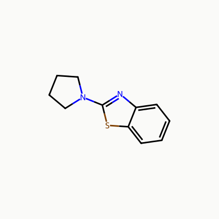 c1ccc2sc(N3CCCC3)nc2c1